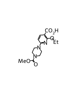 CCOc1nc(N2CCN(C(=O)OC)CC2)ccc1C(=O)O